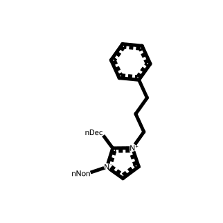 CCCCCCCCCCc1n(CCCCCCCCC)cc[n+]1CCCc1ccccc1